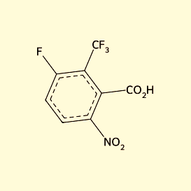 O=C(O)c1c([N+](=O)[O-])ccc(F)c1C(F)(F)F